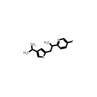 CC(C)c1csc(CC(C)c2ccc(F)cn2)c1